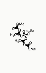 COC(=O)OC(C)OP(=O)(OC(C)OC(=O)OC)OC(C)(C)C